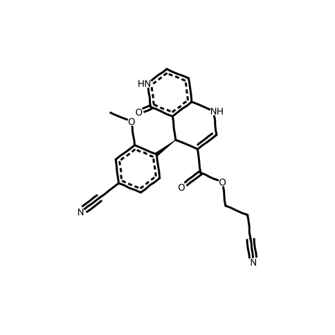 COc1cc(C#N)ccc1[C@@H]1C(C(=O)OCCC#N)=CNc2cc[nH]c(=O)c21